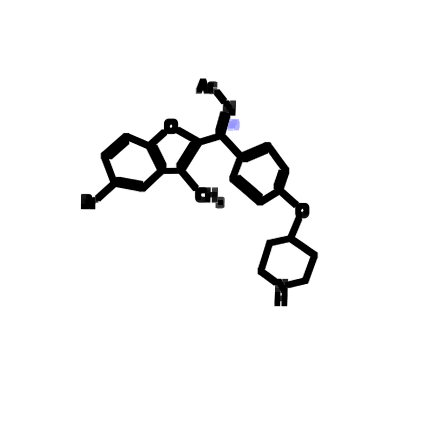 CC(=O)/N=C(/c1ccc(OC2CCNCC2)cc1)c1oc2ccc(Br)cc2c1C